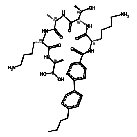 CCCCc1ccc(-c2ccc(C(=O)N[C@@H](CCCCN)C(=O)N[C@H](C(=O)N[C@@H](C)C(=O)N[C@@H](CCCCN)C(=O)N[C@@H](C)B(O)O)[C@@H](C)O)cc2)cc1